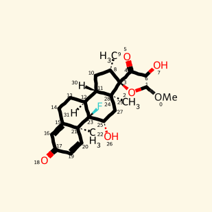 COCO[C@]1(C(=O)CO)[C@@H](C)C[C@H]2[C@@H]3CCC4=CC(=O)C=C[C@]4(C)[C@@]3(F)[C@@H](O)C[C@@]21C